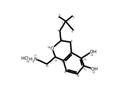 CC(C)(C)CC1Cc2c(ccc(O)c2O)C(CN)O1.Cl